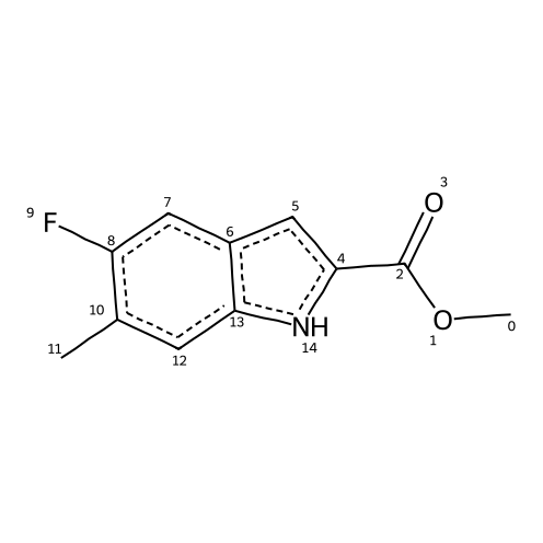 COC(=O)c1cc2cc(F)c(C)cc2[nH]1